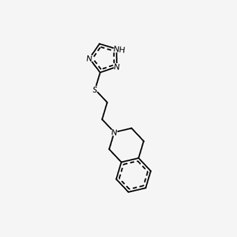 c1ccc2c(c1)CCN(CCSc1nc[nH]n1)C2